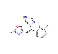 Cc1nc(/C=C(\c2c[nH]cn2)c2cccc(C)c2C)co1